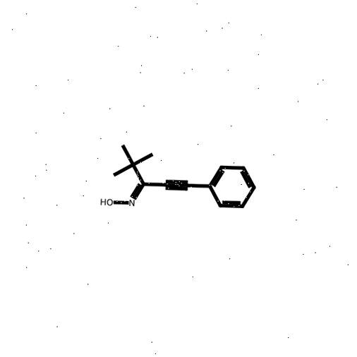 CC(C)(C)C(C#Cc1ccccc1)=NO